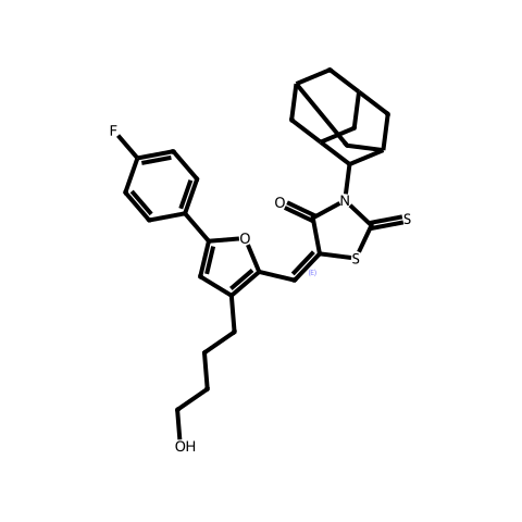 O=C1/C(=C\c2oc(-c3ccc(F)cc3)cc2CCCCO)SC(=S)N1C1C2CC3CC(C2)CC1C3